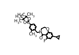 Cc1cc(B2OC(C)(C)C(C)(C)O2)ccc1CN1CCOc2cc(C3CC3)cc(F)c2C1=O